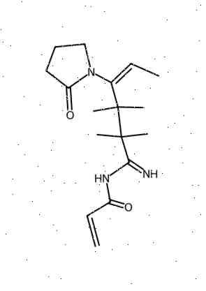 C=CC(=O)NC(=N)C(C)(C)C(C)(C)C(=CC)N1CCCC1=O